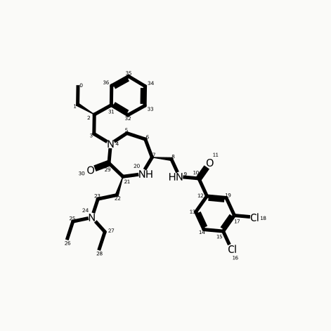 CC[C@H](CN1CC[C@@H](CNC(=O)c2ccc(Cl)c(Cl)c2)N[C@@H](CCN(CC)CC)C1=O)c1ccccc1